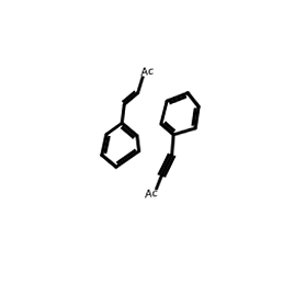 CC(=O)/C=C/c1ccccc1.CC(=O)C#Cc1ccccc1